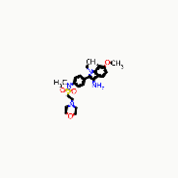 CCn1c(-c2ccc(N(C)S(=O)(=O)CCN3CCOCC3)cc2)c(N)c2ccc(OC)cc21